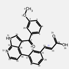 COc1cccc(C(=O)c2c[nH]c3nccc(-c4cccc(/C=C/C(=O)O)c4)c23)c1